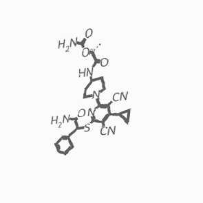 C[C@@H](OC(N)=O)C(=O)NC1CCN(c2nc(SC(C(N)=O)c3ccccc3)c(C#N)c(C3CC3)c2C#N)CC1